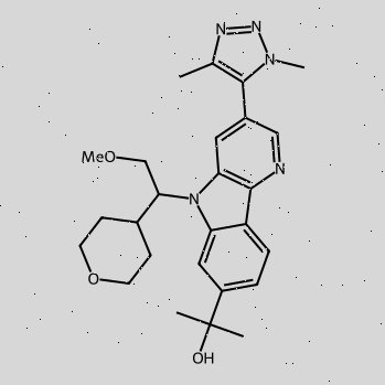 COCC(C1CCOCC1)n1c2cc(C(C)(C)O)ccc2c2ncc(-c3c(C)nnn3C)cc21